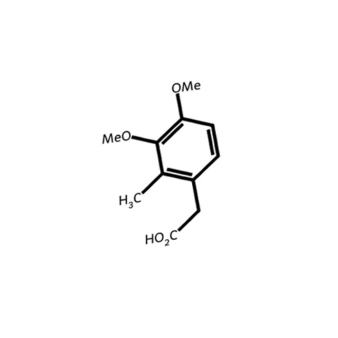 COc1ccc(CC(=O)O)c(C)c1OC